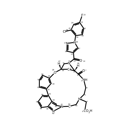 O=C(O)CN1CCNC(=O)[C@@H]2C[C@@H](CN2C(=O)c2cnn(-c3ccc(F)cc3Cl)c2)Oc2cccc(c2)-c2cccc3nn(cc23)CC1